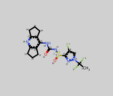 CC(F)(F)n1cc(F)c(/[SH](=O)=N/C(=O)Nc2c3c(nc4c2CCC4)CCC3)n1